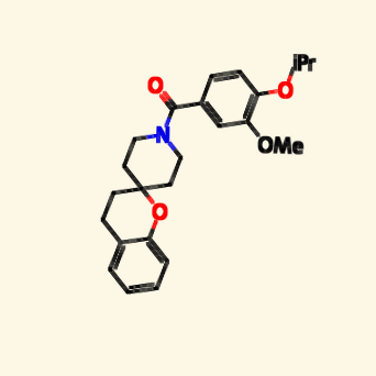 COc1cc(C(=O)N2CCC3(CCc4ccccc4O3)CC2)ccc1OC(C)C